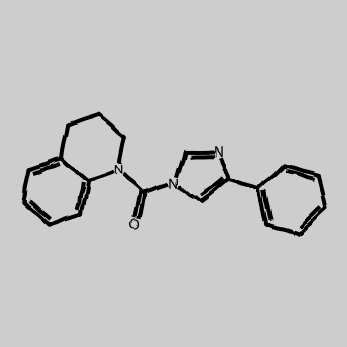 O=C(N1CCCc2ccccc21)n1cnc(-c2ccccc2)c1